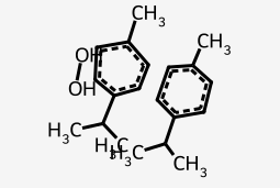 Cc1ccc(C(C)C)cc1.Cc1ccc(C(C)C)cc1.OO